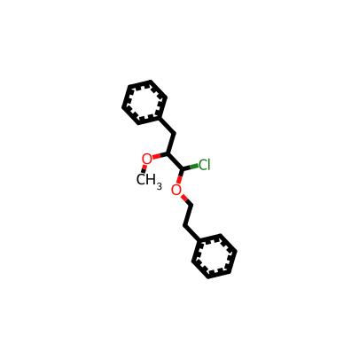 COC(Cc1ccccc1)C(Cl)OCCc1ccccc1